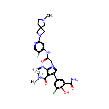 C=Nc1c(C(=O)N(C)C)c(-c2cc(F)c(O)c(C(N)=O)c2)cn1CC(=O)Nc1cc(N2CC3(CCN(C)C3)C2)ncc1Cl